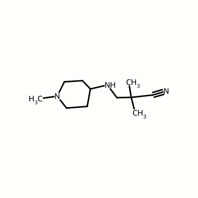 CN1CCC(NCC(C)(C)C#N)CC1